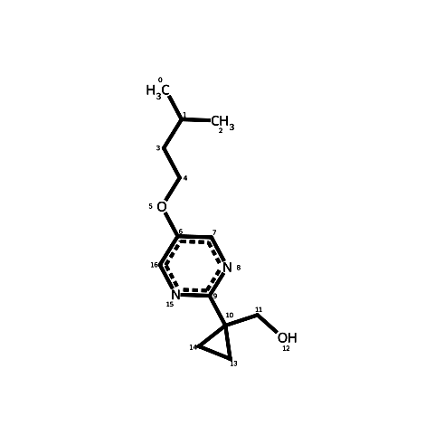 CC(C)CCOc1cnc(C2(CO)CC2)nc1